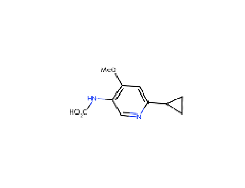 COc1cc(C2CC2)ncc1NC(=O)O